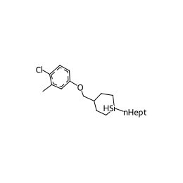 CCCCCCC[SiH]1CCC(COc2ccc(Cl)c(C)c2)CC1